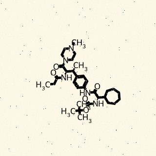 CCC(=O)N[C@@H](C(=O)N1CCN(C)CC1)[C@@H](C)c1ccc(NC(=O)[C@@H](NC(=O)OC(C)(C)C)C2CCCCCC2)cc1